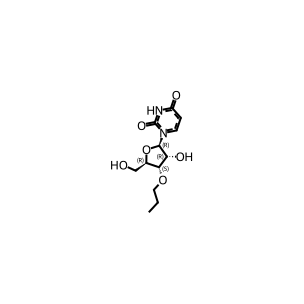 CCCO[C@H]1[C@@H](O)[C@H](n2ccc(=O)[nH]c2=O)O[C@@H]1CO